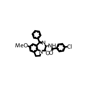 COc1cc2c3c(c1)C(c1ccccc1)=N[C@@H](NC(=O)c1ccc(Cl)cc1)C(=O)N3CC2